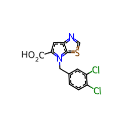 O=C(O)c1cc2ncsc2n1Cc1ccc(Cl)c(Cl)c1